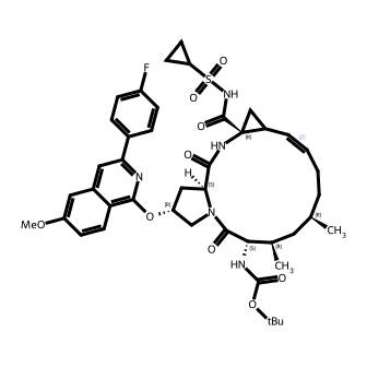 COc1ccc2c(O[C@@H]3C[C@H]4C(=O)N[C@]5(C(=O)NS(=O)(=O)C6CC6)CC5/C=C\CC[C@@H](C)C[C@@H](C)[C@H](NC(=O)OC(C)(C)C)C(=O)N4C3)nc(-c3ccc(F)cc3)cc2c1